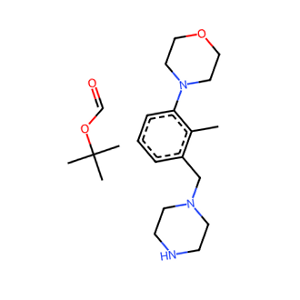 CC(C)(C)OC=O.Cc1c(CN2CCNCC2)cccc1N1CCOCC1